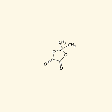 C[Si]1(C)OC(=O)C(=O)O1